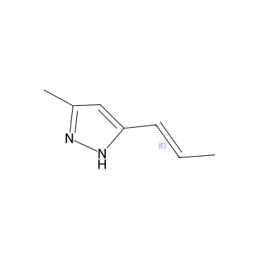 C/C=C/c1cc(C)n[nH]1